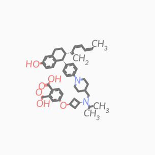 C=C(/C=C\C=C/C)[C@H]1CCc2cc(O)ccc2[C@H]1c1ccc(N2CCC(CN(C(C)C)[C@H]3C[C@H](Oc4ccc(C(=O)O)c(C(=O)O)c4)C3)CC2)cc1